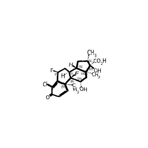 C[C@H]1C[C@H]2[C@@H]3C[C@H](F)C4=C(Cl)C(=O)C=C[C@]4(C)[C@@]3(F)[C@@H](O)C[C@]2(C)[C@@]1(O)C(=O)O